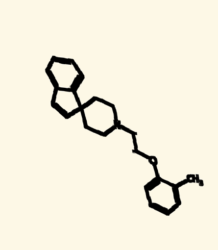 Cc1ccccc1O[CH][CH]N1CCC2(C=Cc3ccccc32)CC1